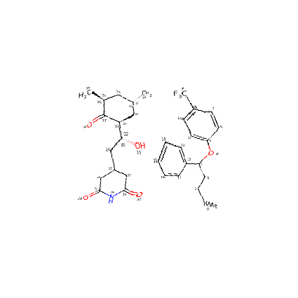 CNCCC(Oc1ccc(C(F)(F)F)cc1)c1ccccc1.C[C@@H]1C[C@@H]([C@H](O)CC2CC(=O)NC(=O)C2)C(=O)[C@@H](C)C1